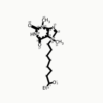 CCC([O-])CCCCCCC[N+]1(C)C=Nc2c1c(=O)[nH]c(=O)n2C